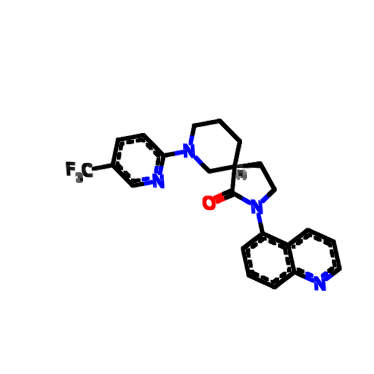 O=C1N(c2cccc3ncccc23)CC[C@@]12CCCN(c1ccc(C(F)(F)F)cn1)C2